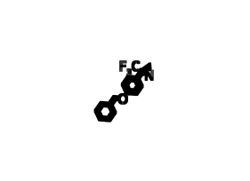 FC(F)(F)C1(c2ccc(OCC3CCCCC3)cc2)C=N1